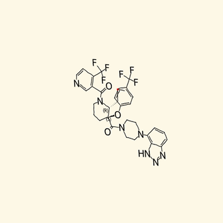 CCC[C@H]1N(C(=O)c2cnccc2C(F)(F)F)CCC[C@@]1(Oc1ccc(C(F)(F)F)cc1)C(=O)N1CCN(c2cccc3nn[nH]c23)CC1